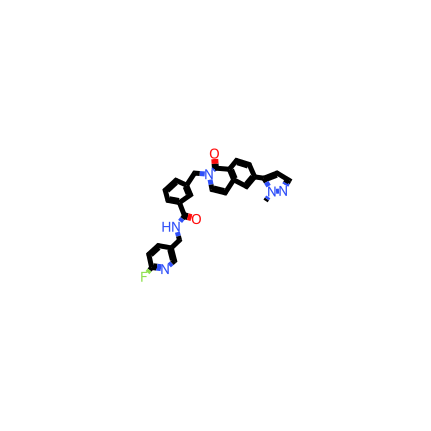 Cn1nccc1-c1ccc2c(=O)n(Cc3cccc(C(=O)NCc4ccc(F)nc4)c3)ccc2c1